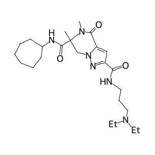 CCN(CC)CCCNC(=O)c1cc2n(n1)CC(C)(C(=O)NC1CCCCCC1)N(C)C2=O